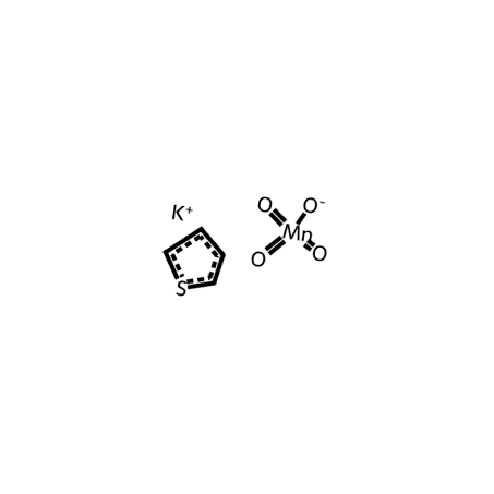 [K+].[O]=[Mn](=[O])(=[O])[O-].c1ccsc1